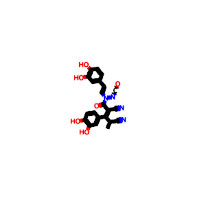 CC(C#N)C(=C(C#N)C(=O)N(C=Cc1ccc(O)c(O)c1)N=C=O)c1ccc(O)c(O)c1